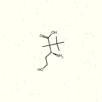 CC(C)(C)C(C)(C(=O)O)[C@@H](N)CCO